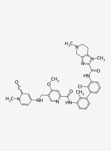 COc1cc(C(=O)Nc2cccc(-c3cccc(NC(=O)c4nc5c(n4C)CCN(C)C5)c3Cl)c2C)ncc1CNC1=CC(=C=O)N(C)C=C1